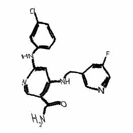 NC(=O)c1cnc(Nc2cccc(Cl)c2)cc1NCc1cncc(F)c1